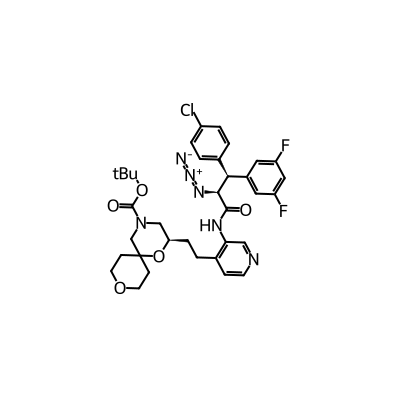 CC(C)(C)OC(=O)N1C[C@@H](CCc2ccncc2NC(=O)[C@@H](N=[N+]=[N-])[C@@H](c2ccc(Cl)cc2)c2cc(F)cc(F)c2)OC2(CCOCC2)C1